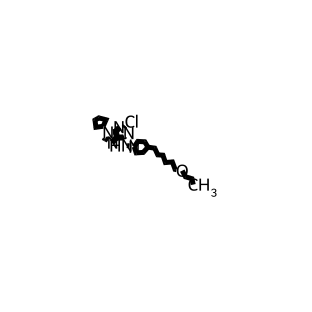 CCCOCCCCCCC1CCN(Nc2nc(Cl)nc3c2ncn3C2CCCC2)CC1